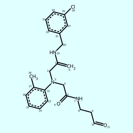 C=C(CN(CC(=O)NCCC=O)c1ccccc1C)NCc1cccc(Cl)c1